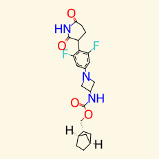 O=C1CCC(c2c(F)cc(N3CC(NC(=O)OC[C@@H]4C[C@H]5CC[C@@H]4C5)C3)cc2F)C(=O)N1